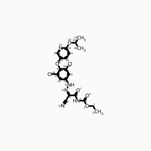 CCOC(=O)NC(=O)C(C#N)=NNc1cc(Cl)c(Oc2ccc(OC(C)C)nc2)c(Cl)c1